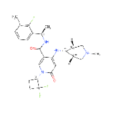 C[C@@H](NC(=O)c1cn([C@H]2CCC2(F)F)c(=O)cc1N[C@@H]1[C@@H]2CN(C)C[C@@H]21)c1cccc(C(F)(F)F)c1F